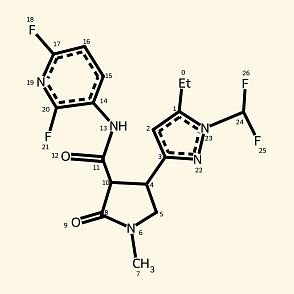 CCc1cc(C2CN(C)C(=O)C2C(=O)Nc2ccc(F)nc2F)nn1C(F)F